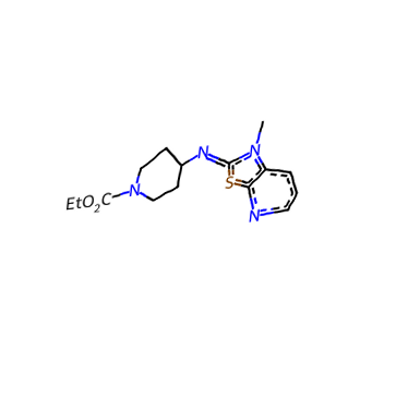 CCOC(=O)N1CCC(/N=c2\sc3ncccc3n2C)CC1